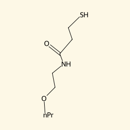 CCCOCCNC(=O)CCS